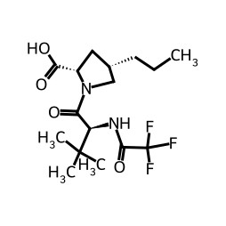 CCC[C@H]1C[C@@H](C(=O)O)N(C(=O)[C@@H](NC(=O)C(F)(F)F)C(C)(C)C)C1